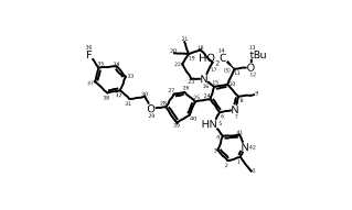 Cc1ccc(Nc2nc(C)c([C@H](OC(C)(C)C)C(=O)O)c(N3CCC(C)(C)CC3)c2-c2ccc(OCCc3ccc(F)cc3)cc2)cn1